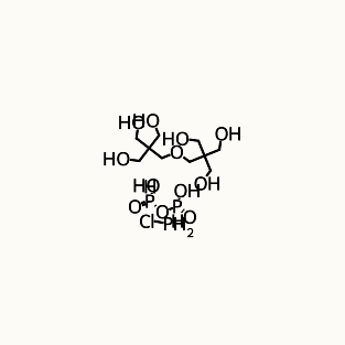 O=[PH](O)O[PH](=O)O.OCC(CO)(CO)COCC(CO)(CO)CO.PCl